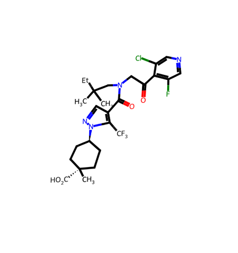 CCC(C)(C)CN(CC(=O)c1c(F)cncc1Cl)C(=O)c1cnn([C@H]2CC[C@](C)(C(=O)O)CC2)c1C(F)(F)F